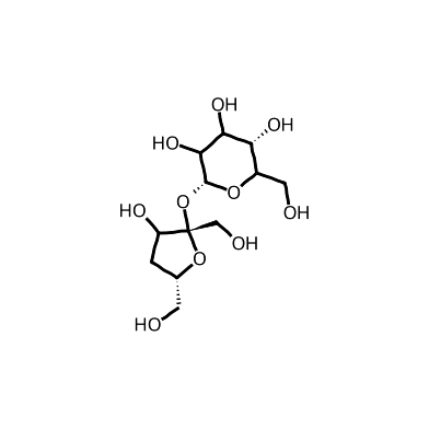 OCC1O[C@H](O[C@]2(CO)O[C@H](CO)CC2O)C(O)C(O)[C@@H]1O